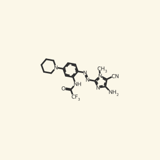 Cn1c(N=Nc2ccc(N3CCCCC3)cc2NC(=O)C(F)(F)F)nc(N)c1C#N